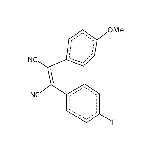 COc1ccc(/C(C#N)=C(/C#N)c2ccc(F)cc2)cc1